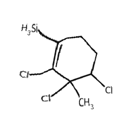 CC1(Cl)C(Cl)=C([SiH3])CCC1Cl